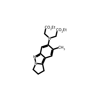 CCOC(=O)CN(CC(=O)OCC)c1cc2nn3c(c2cc1C)CCC3